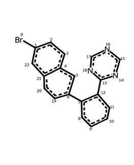 Brc1ccc2cc(-c3ccccc3-c3ncncn3)ccc2c1